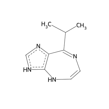 CC(C)C1=NC=CNc2[nH]cnc21